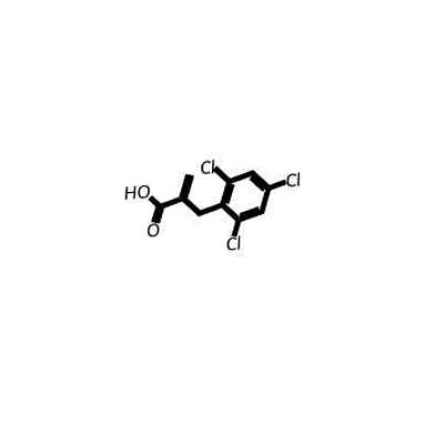 C=C(Cc1c(Cl)cc(Cl)cc1Cl)C(=O)O